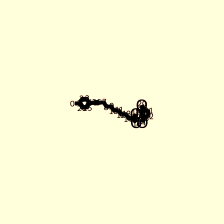 Cc1ccc(C#CCCCCCCCCC(=O)ON2C(=O)CCC2=O)cc1